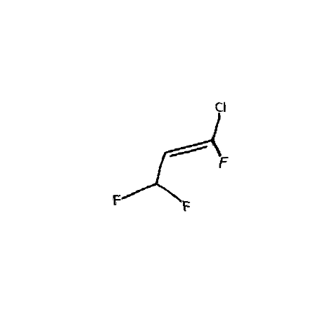 F/C(Cl)=C\C(F)F